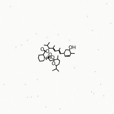 CC(=C\C1C=CC(C)C(O)C1)/C=C(\C)C(OC(=O)C1CCCCN1C(=O)CC1(O)OC(C(C)C)CCC1C)C(C)C